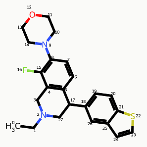 CCN1Cc2c(ccc(N3CCOCC3)c2F)C(c2ccc3sccc3c2)C1